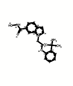 CC(C)(N)c1ccccc1OCCn1ccc2ccc(C(=O)NO)cc21